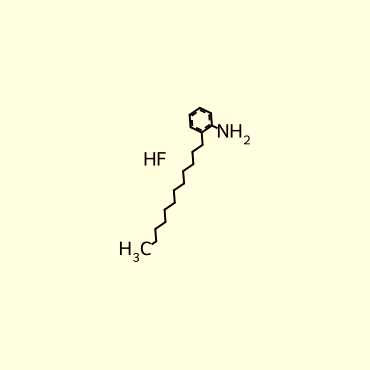 CCCCCCCCCCCCc1ccccc1N.F